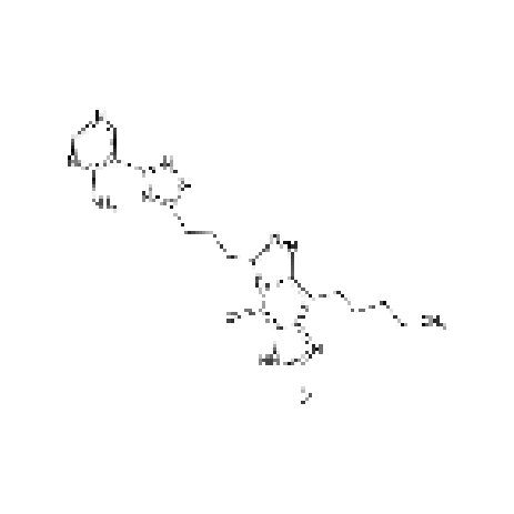 CCCCCn1c2nc(Br)[nH]c2c(=O)n2c(CCCc3nc(-c4cncnc4N)no3)nnc12